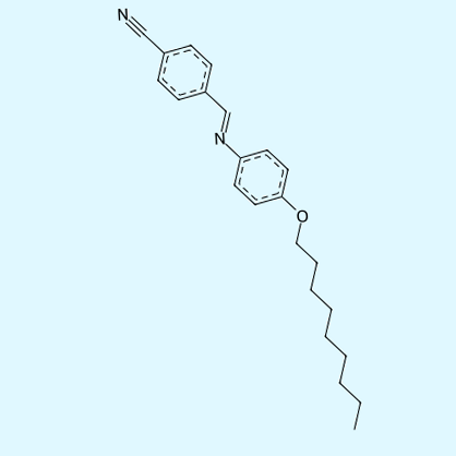 CCCCCCCCCOc1ccc(/N=C/c2ccc(C#N)cc2)cc1